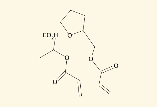 C=CC(=O)OC(C)C(=O)O.C=CC(=O)OCC1CCCO1